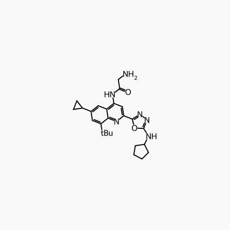 CC(C)(C)c1cc(C2CC2)cc2c(NC(=O)CN)cc(-c3nnc(NC4CCCC4)o3)nc12